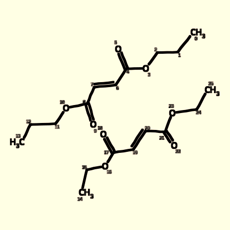 CCCOC(=O)C=CC(=O)OCCC.CCOC(=O)C=CC(=O)OCC